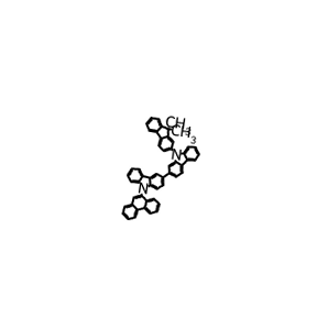 CC1(C)c2ccccc2-c2ccc(-n3c4ccccc4c4ccc(-c5ccc6c(c5)c5ccccc5n6-c5cc6ccccc6c6ccccc56)cc43)cc21